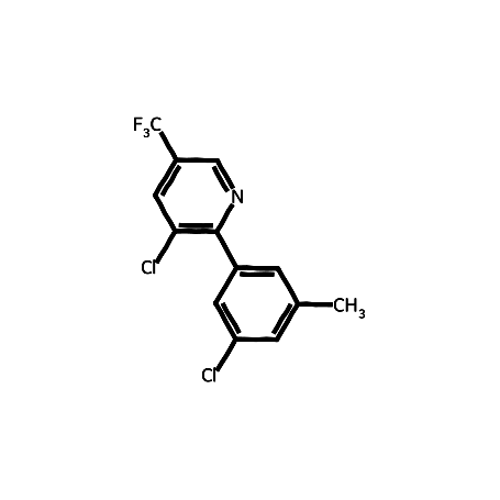 Cc1cc(Cl)cc(-c2ncc(C(F)(F)F)cc2Cl)c1